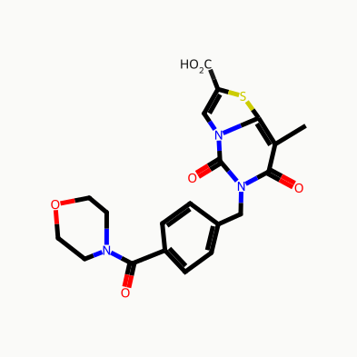 Cc1c(=O)n(Cc2ccc(C(=O)N3CCOCC3)cc2)c(=O)n2cc(C(=O)O)sc12